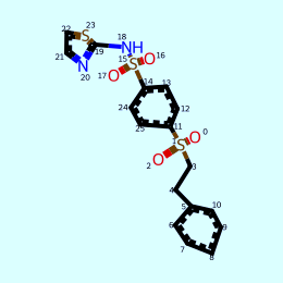 O=S(=O)(CCc1ccccc1)c1ccc(S(=O)(=O)Nc2nccs2)cc1